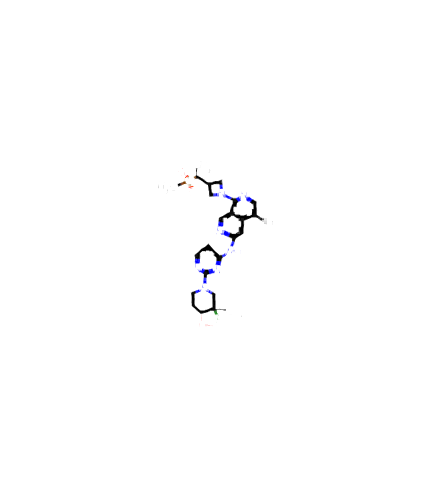 CC(C)c1cnc(N2CC([C@H](C)S(C)(=O)=O)C2)c2cnc(Nc3ccnc(N4CC[C@@H](O)[C@@](C)(F)C4)n3)cc12